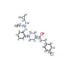 CCCN(Cc1ccccc1N1CCN(C(=O)[CH]Cc2ccc(Cl)cc2)CC1)CC1CC1